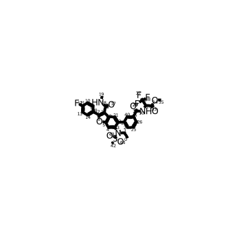 CCN(c1cc2oc(-c3ccc(F)cc3)c(C(=O)NC)c2cc1-c1cccc(C(=O)NC(C(=O)OC)C(F)(F)F)c1)S(C)(=O)=O